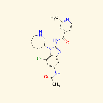 CC(=O)Nc1cc(Cl)c2c(c1)nc(NC(=O)c1ccnc(C)c1)n2C1CCCCNC1